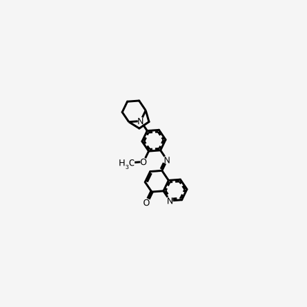 COc1cc(N2C3CCCC2CC3)ccc1N=C1C=CC(=O)c2ncccc21